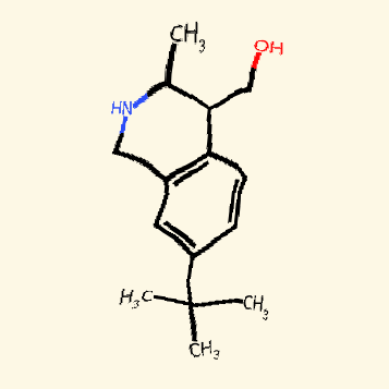 CC1NCc2cc(C(C)(C)C)ccc2C1CO